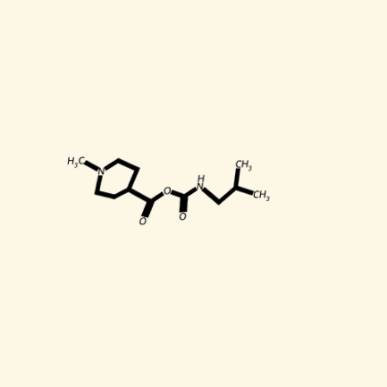 CC(C)CNC(=O)OC(=O)C1CCN(C)CC1